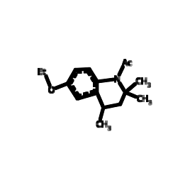 CCOc1ccc2c(c1)C(C)CC(C)(C)N2C(C)=O